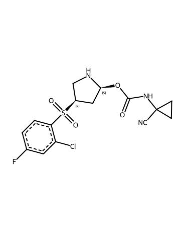 N#CC1(NC(=O)O[C@H]2C[C@@H](S(=O)(=O)c3ccc(F)cc3Cl)CN2)CC1